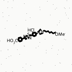 COCCCCCCCN1CCN(c2ccc(-c3nn4cc(-c5ccc(C(=O)O)cc5)nc4s3)cc2)CC1.Cl